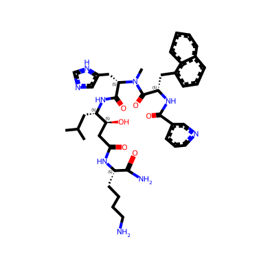 CC(C)C[C@H](NC(=O)[C@H](Cc1cnc[nH]1)N(C)C(=O)[C@H](Cc1cccc2ccccc12)NC(=O)c1cccnc1)[C@@H](O)CC(=O)N[C@@H](CCCCN)C(N)=O